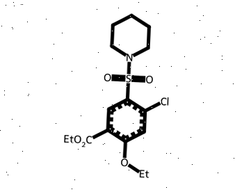 CCOC(=O)c1cc(S(=O)(=O)N2CCCCC2)c(Cl)cc1OCC